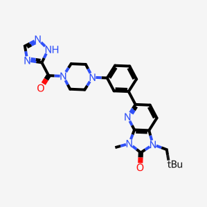 Cn1c(=O)n(CC(C)(C)C)c2ccc(-c3cccc(N4CCN(C(=O)c5ncn[nH]5)CC4)c3)nc21